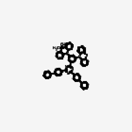 CC1(C)c2ccccc2N(c2cc(-c3nc(-c4ccc(-c5ccccc5)cc4)nc(-c4ccc(-c5ccccc5)cc4)n3)cc(N3c4ccccc4Sc4ccccc43)c2)c2ccccc21